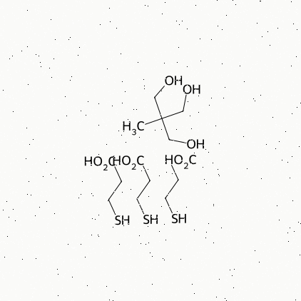 CC(CO)(CO)CO.O=C(O)CCS.O=C(O)CCS.O=C(O)CCS